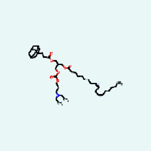 CCCCC/C=C\C/C=C\CCCCCCCC(=O)OCC(COC(=O)CCC12CC3CC(CC(C3)C1)C2)COC(=O)OCCCN(CC)CC